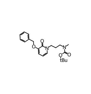 CN(CCCn1cccc(OCc2ccccc2)c1=O)C(=O)OC(C)(C)C